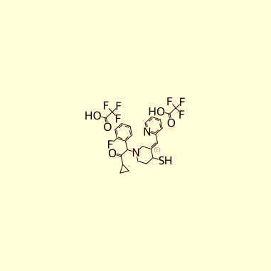 O=C(C1CC1)C(c1ccccc1F)N1CCC(S)/C(=C/c2ccccn2)C1.O=C(O)C(F)(F)F.O=C(O)C(F)(F)F